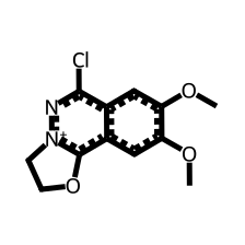 COc1cc2c(Cl)n[n+]3c(c2cc1OC)OCC3